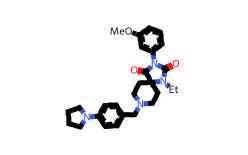 CCN1C(=O)N(c2cccc(OC)c2)C(=O)C12CCN(Cc1ccc(N3CCCC3)cc1)CC2